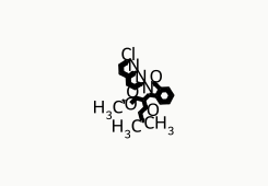 CCOC(=O)C(C(=O)CC(C)C)C1c2ccccc2C(=O)N1c1ccc2ccc(Cl)nc2n1